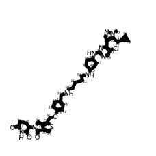 Cn1ncc(-c2nc(NC3CCC(NCCCCCNCc4ccc(OCc5scc6c5CN(C5CCC(=O)NC5=O)C6=O)cc4)CC3)ncc2Cl)c1CC1CC1